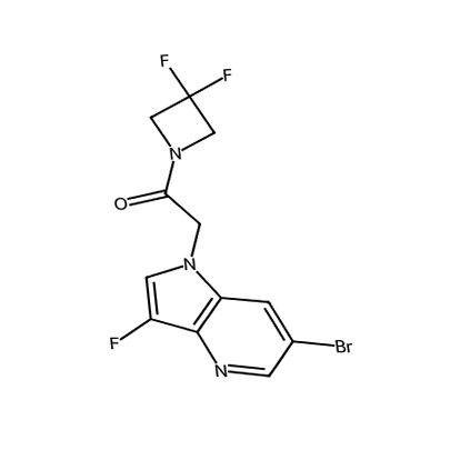 O=C(Cn1cc(F)c2ncc(Br)cc21)N1CC(F)(F)C1